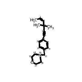 C/C=C\C(C)(C)C#Cc1ccc(CN2CCOCC2)cc1